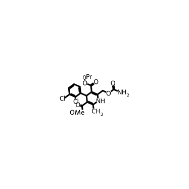 CCCOC(=O)C1=C(COC(N)=O)NC(C)=C(C(=O)OC)C1c1cccc(Cl)c1Cl